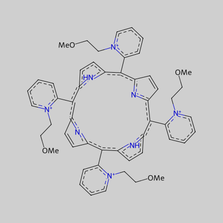 COCC[n+]1ccccc1-c1c2nc(c(-c3cccc[n+]3CCOC)c3ccc([nH]3)c(-c3cccc[n+]3CCOC)c3nc(c(-c4cccc[n+]4CCOC)c4ccc1[nH]4)C=C3)C=C2